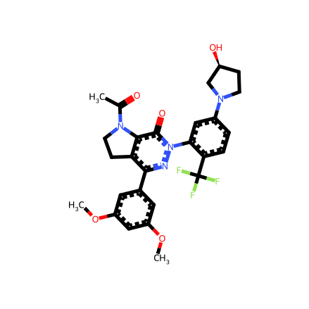 COc1cc(OC)cc(-c2nn(-c3cc(N4CC[C@H](O)C4)ccc3C(F)(F)F)c(=O)c3c2CCN3C(C)=O)c1